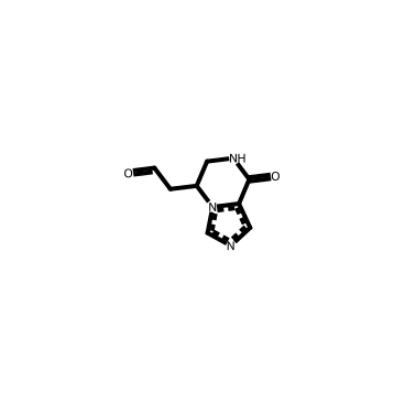 O=CCC1CNC(=O)c2cncn21